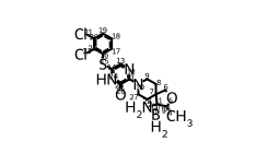 B[C@@]1(N)[C@H](C)OCC12CCN(c1ncc(Sc3cccc(Cl)c3Cl)[nH]c1=O)CC2